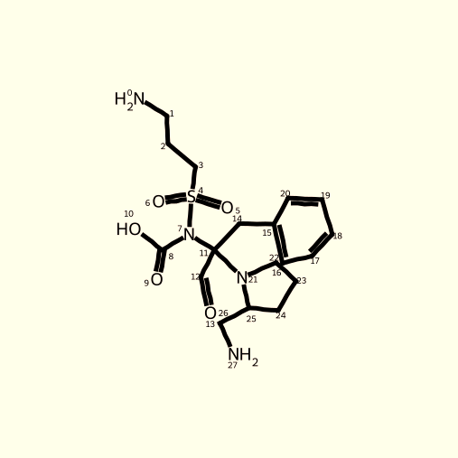 NCCCS(=O)(=O)N(C(=O)O)C(C=O)(Cc1ccccc1)N1CCCC1CN